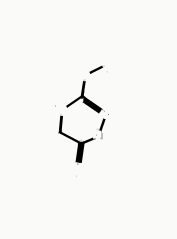 CSC1=NNC(=O)CS1